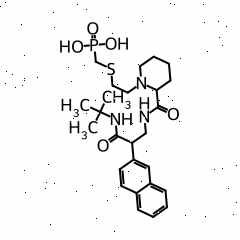 CC(C)(C)NC(=O)C(CNC(=O)C1CCCCN1CCSCP(=O)(O)O)c1ccc2ccccc2c1